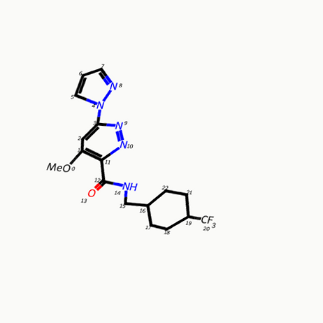 COc1cc(-n2cccn2)nnc1C(=O)NCC1CCC(C(F)(F)F)CC1